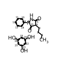 CCCCC1C(=O)NN(c2ccccc2)C1=O.Oc1cc(O)cc(O)c1